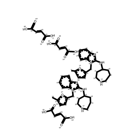 Cc1ccc(Cn2c(NC3CCCNCC3)nc3ccccc32)o1.Cc1ccc(Cn2c(NC3CCCNCC3)nc3ccccc32)o1.O=C(O)C=CC(=O)O.O=C(O)C=CC(=O)O.O=C(O)C=CC(=O)O